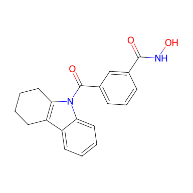 O=C(NO)c1cccc(C(=O)n2c3c(c4ccccc42)CCCC3)c1